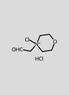 Cl.O=CC[N+]1(Cl)CCOCC1